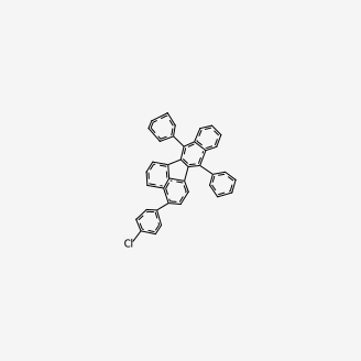 Clc1ccc(-c2ccc3c4c(cccc24)-c2c-3c(-c3ccccc3)c3ccccc3c2-c2ccccc2)cc1